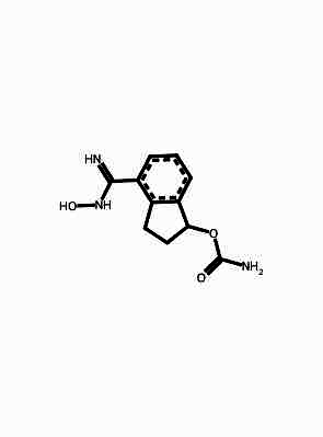 N=C(NO)c1cccc2c1CCC2OC(N)=O